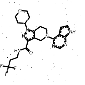 O=C(NCCC(F)(F)F)c1nn(C2CCOCC2)c2c1CN(c1ncnc3[nH]ccc13)CC2